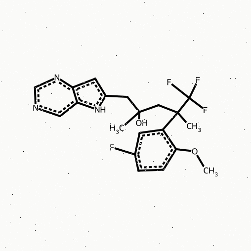 COc1ccc(F)cc1C(C)(CC(C)(O)Cc1cc2ncncc2[nH]1)C(F)(F)F